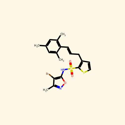 Cc1cc(C)c(/C=C/Cc2ccsc2S(=O)(=O)Nc2onc(C)c2Br)c(C)c1